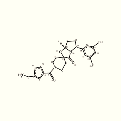 CCc1cc(C(=O)N2CCC3(CC2)O[C@@H]2CC[C@@H](c4cc(F)cc(F)c4)N2C3=O)no1